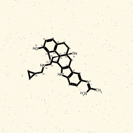 C/C(N)=N/c1ccc2[nH]c3c(c2c1)C[C@@]1(O)CCc2ccc(O)c4c2[C@@]1(CCNCC1CC1)C3O4